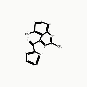 O=C(c1ccccn1)c1nc(C(F)(F)F)nc2cccc(O)c12